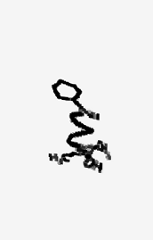 C[Si](C)(O)CCCNC1CCCCC1